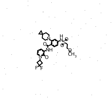 COCCS(=O)(=O)Nc1ccc(C(=O)Nc2cccn(C3CC(F)(F)C3)c2=O)c(N2CCC3(CC2)CC3)c1